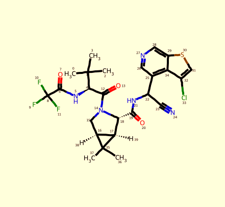 CC(C)(C)[C@H](NC(=O)C(F)(F)F)C(=O)N1C[C@H]2[C@@H]([C@H]1C(=O)NC(C#N)c1cncc3scc(Cl)c13)C2(C)C